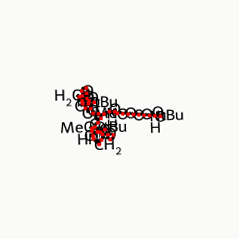 C=C1CC[C@H](OC2CCCCO2)N(C(=O)OC(C)(C)C)c2cc(OCc3cc(C#CCNC(=O)CCOCCOCCOCCOCCNC(=O)OC(C)(C)C)cc(COc4cc5c(cc4OC)C(=O)N4CC(=C)C[C@H]4[C@H](OC4CCCCO4)N5C(=O)OC(C)(C)C)c3)c(OC)cc2C(=O)NC1